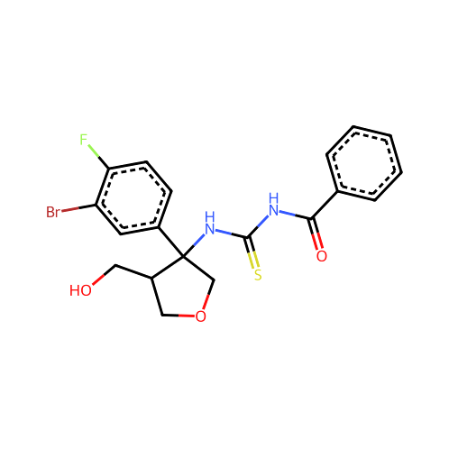 O=C(NC(=S)NC1(c2ccc(F)c(Br)c2)COCC1CO)c1ccccc1